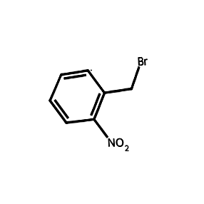 O=[N+]([O-])c1ccc[c]c1CBr